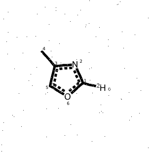 [2H]c1nc(C)co1